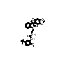 COc1ccc(C(C)(C)C)cc1NC(=O)NCCN1C(=O)C2(COc3cc4c(cc32)OCO4)c2ccccc21